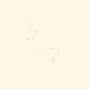 CCC(CN1C(=O)C=C(C)C1=O)CN1C(=O)C=C(C)C1=O